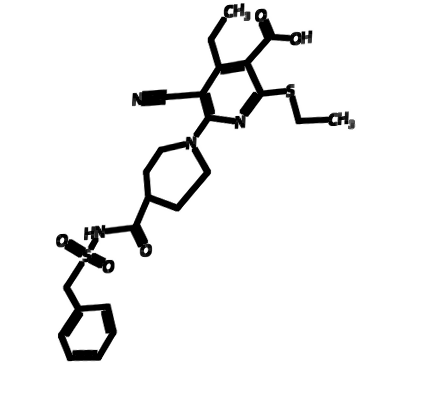 CCSc1nc(N2CCC(C(=O)NS(=O)(=O)Cc3ccccc3)CC2)c(C#N)c(CC)c1C(=O)O